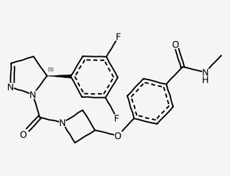 CNC(=O)c1ccc(OC2CN(C(=O)N3N=CC[C@H]3c3cc(F)cc(F)c3)C2)cc1